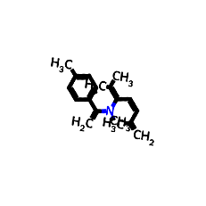 C=C(C)/C=C\C(=C(C)C)N(C)C(=C)c1ccc(C)cc1